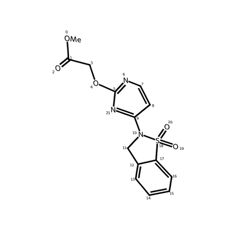 COC(=O)COc1nccc(N2Cc3ccccc3S2(=O)=O)n1